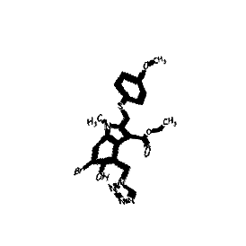 CCOC(=O)c1c(CSc2ccc(OC)cc2)n(C)c2cc(Br)c(O)c(Cn3cnnn3)c12